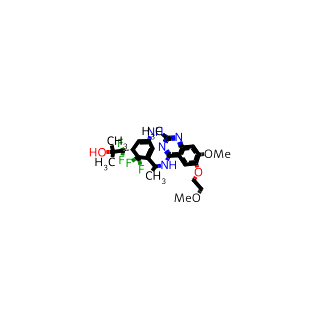 COCCOc1cc2c(NC(C)C3=CC(N)=C[C@@H](C(F)(F)C(C)(C)O)C3(F)F)nc(C)nc2cc1OC